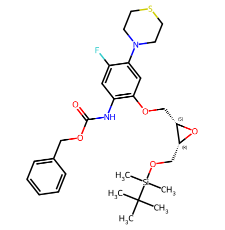 CC(C)(C)[Si](C)(C)OC[C@H]1O[C@H]1COc1cc(N2CCSCC2)c(F)cc1NC(=O)OCc1ccccc1